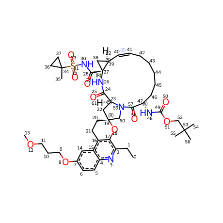 CCc1nc2ccc(OCCCOC)cc2c2c1O[C@]1(CC2)C[C@H]2C(=O)N[C@]3(C(=O)NS(=O)(=O)C4(C)CC4)C[C@H]3/C=C\CCCCC[C@H](NC(=O)OCC(C)(C)C)C(=O)N2C1